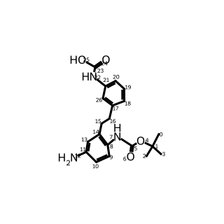 CC(C)(C)OC(=O)Nc1ccc(N)cc1CCc1cccc(NC(=O)O)c1